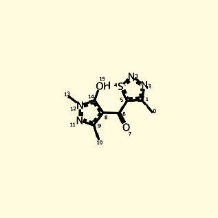 Cc1nnsc1C(=O)c1c(C)nn(C)c1O